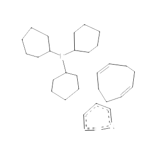 C1=CCCC=CCC1.C1CCC(P(C2CCCCC2)C2CCCCC2)CC1.c1ccncc1